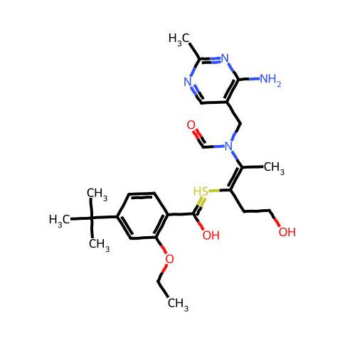 CCOc1cc(C(C)(C)C)ccc1/C(O)=[SH]/C(CCO)=C(/C)N(C=O)Cc1cnc(C)nc1N